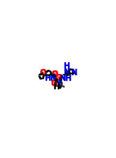 C[C@@]12C[C@@H]1N(C(=O)CNC(=O)c1ccc3oc4ccccc4c3c1)[C@H](C(=O)NCc1cc3cnccc3[nH]1)C2